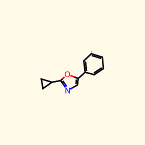 [c]1cccc(-c2cnc(C3CC3)o2)c1